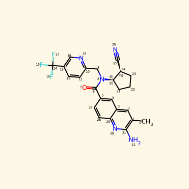 Cc1cc2cc(C(=O)N(Cc3ccc(C(F)(F)F)cn3)[C@@H]3CCC[C@@H]3C#N)ccc2nc1N